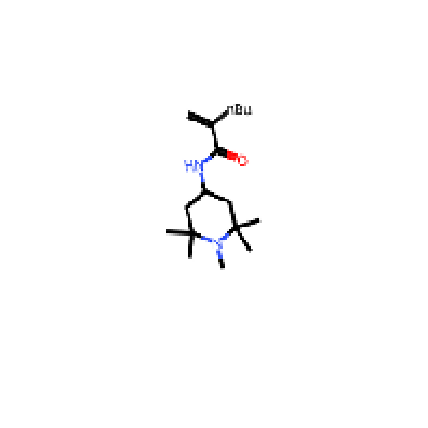 C=C(CCCC)C(=O)NC1CC(C)(C)N(C)C(C)(C)C1